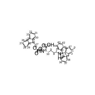 Cc1ccc(C(NCCCC[C@H](NOC(=O)OCC2c3ccccc3-c3ccccc32)C(=O)O)(c2ccccc2)c2ccccc2)cc1